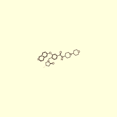 C[C@H]1CC(=O)N(Cc2ccc(C(=O)NC3CCN(C4CCOCC4)CC3)cc2Oc2ccc3cnccc3c2)C1